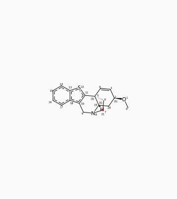 CO[C@@H]1C=C[C@]23CCN(Cc4c2sc2ccccc42)[C@H]3C1